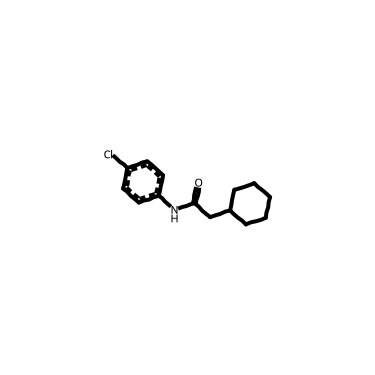 O=C(CC1CCCCC1)Nc1ccc(Cl)cc1